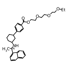 CCOCCOCCOCCOC(=O)c1ccc(C2CCCC(N[C@H](C)c3cccc4ccccc34)C2)cc1